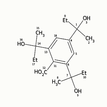 CCC(C)(O)c1cc(C(C)(O)CC)c(C(=O)O)c(C(C)(O)CC)c1